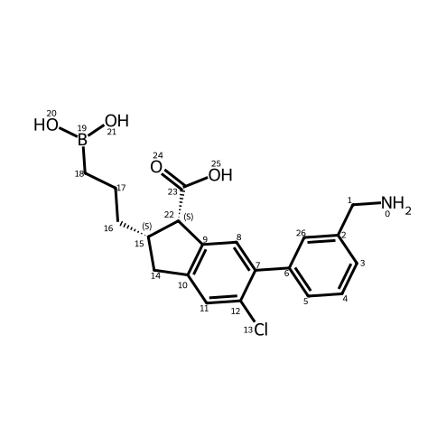 NCc1cccc(-c2cc3c(cc2Cl)C[C@H](CCCB(O)O)[C@@H]3C(=O)O)c1